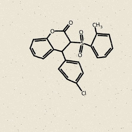 Cc1ccccc1S(=O)(=O)C1C(=O)Oc2ccccc2C1c1ccc(Cl)cc1